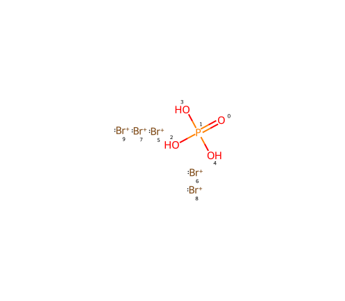 O=P(O)(O)O.[Br+].[Br+].[Br+].[Br+].[Br+]